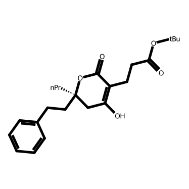 CCC[C@@]1(CCc2ccccc2)CC(O)=C(CCC(=O)OC(C)(C)C)C(=O)O1